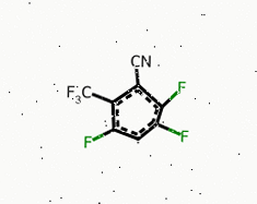 N#Cc1c(F)c(F)[c]c(F)c1C(F)(F)F